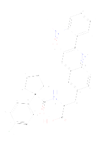 O=C(O)C(Cc1ccc2nc(-c3ccccc3[N+](=O)[O-])ccc2c1)NC(=O)C1(c2ccc(Cl)cc2)CCCC1